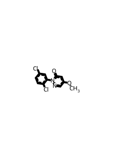 COc1cnn(-c2cc(Cl)ccc2Cl)c(=O)c1